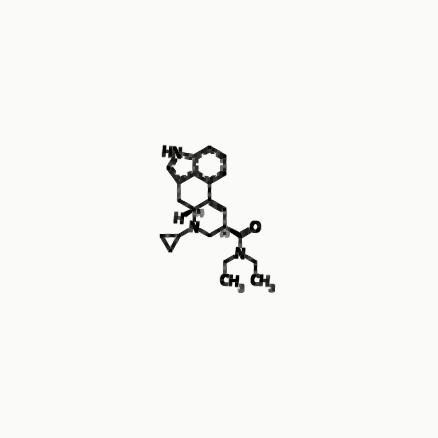 CCN(CC)C(=O)[C@@H]1C=C2c3cccc4[nH]cc(c34)C[C@H]2N(C2CC2)C1